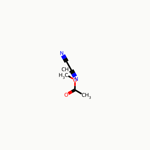 C.COC(C)=O.N#CC#N